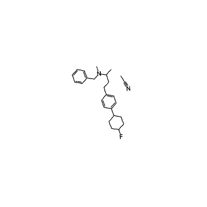 CC#N.CC(CCc1ccc(C2CCC(F)CC2)cc1)N(C)Cc1ccccc1